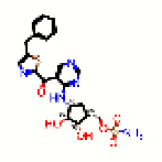 NS(=O)(=O)OC[C@H]1C[C@@H](Nc2ncncc2C(=O)c2ncc(Cc3ccccc3)s2)[C@H](O)[C@@H]1O